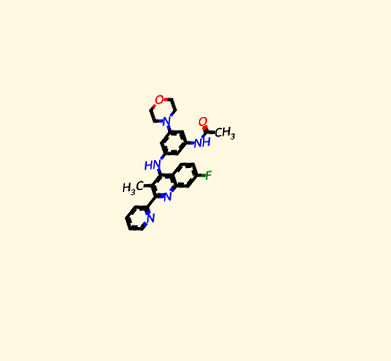 CC(=O)Nc1cc(Nc2c(C)c(-c3ccccn3)nc3cc(F)ccc23)cc(N2CCOCC2)c1